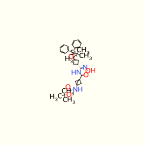 CC(C)(C)OC(=O)NC12CC(C(=O)NC(=NO)[C@H]3C[C@@H](O[Si](c4ccccc4)(c4ccccc4)C(C)(C)C)C3)(C1)C2